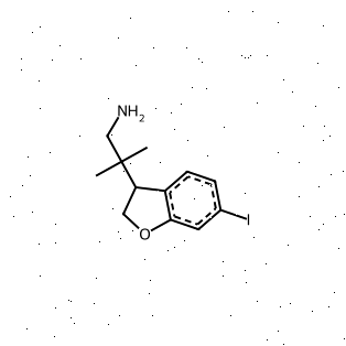 CC(C)(CN)C1COc2cc(I)ccc21